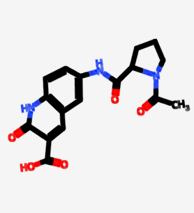 CC(=O)N1CCCC1C(=O)Nc1ccc2[nH]c(=O)c(C(=O)O)cc2c1